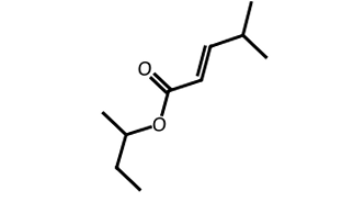 CCC(C)OC(=O)C=CC(C)C